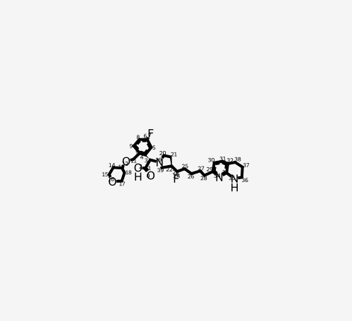 O=C(O)[C@H](c1cc(F)ccc1COC1CCOCC1)N1CC[C@@H]([C@@H](F)CCCCc2ccc3c(n2)NCCC3)C1